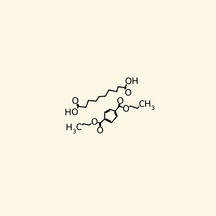 CCCOC(=O)c1ccc(C(=O)OCCC)cc1.O=C(O)CCCCCCCCC(=O)O